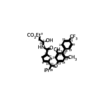 CCOC(=O)C[C@H](O)NC(=O)c1ccc(C(Oc2cc(C)c(-c3ccc(C(F)(F)F)cc3)c(C)c2)C(C)C)s1